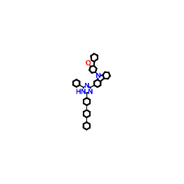 c1ccc(-c2ccc(-c3ccc(C4=NC(c5ccc6c7ccccc7n(-c7ccc8oc9ccccc9c8c7)c6c5)=NC(c5ccccc5)N4)cc3)cc2)cc1